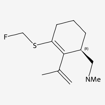 C=C(C)C1=C(SCF)CCC[C@H]1CNC